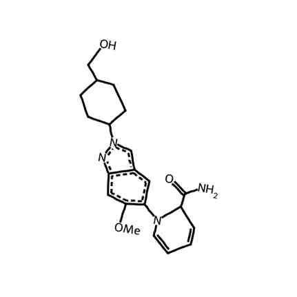 COc1cc2nn(C3CCC(CO)CC3)cc2cc1N1C=CC=CC1C(N)=O